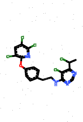 CC(Cl)c1ncnc(NCCc2ccc(Oc3nc(Cl)c(Cl)cc3Cl)cc2)c1Cl